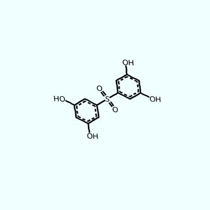 O=S(=O)(c1cc(O)cc(O)c1)c1cc(O)cc(O)c1